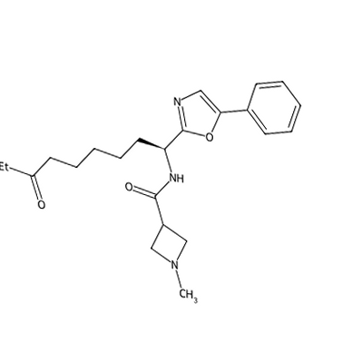 CCC(=O)CCCCC[C@H](NC(=O)C1CN(C)C1)c1ncc(-c2ccccc2)o1